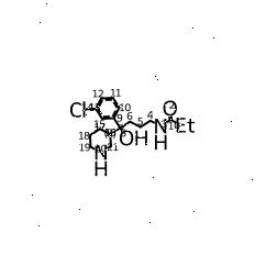 CCC(=O)NCCCC(O)(c1cccc(Cl)c1)[C@@H]1CCCNC1